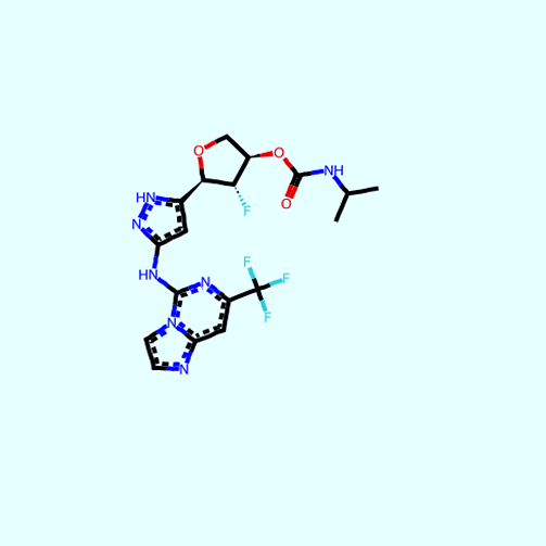 CC(C)NC(=O)O[C@@H]1CO[C@H](c2cc(Nc3nc(C(F)(F)F)cc4nccn34)n[nH]2)[C@H]1F